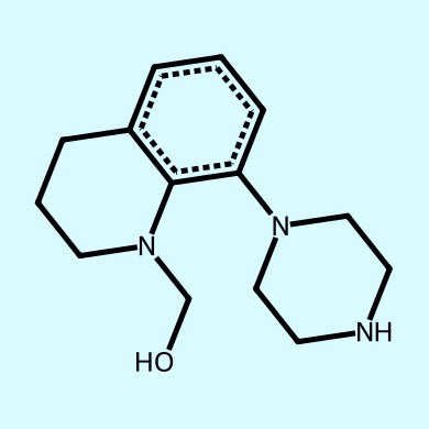 OCN1CCCc2cccc(N3CCNCC3)c21